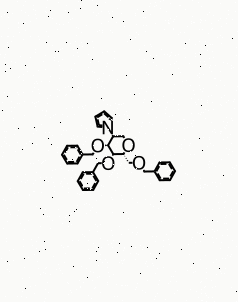 c1ccc(COC[C@H]2OC[C@@H](n3cccc3)[C@@H](OCc3ccccc3)[C@H]2OCc2ccccc2)cc1